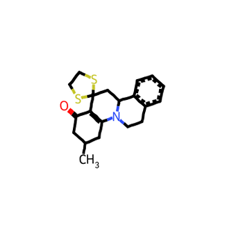 CC1CC(=O)C2=C(C1)N1CCc3ccccc3C1CC21SCCS1